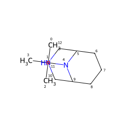 CC(C)(C)N1C2CCCC1CNC2